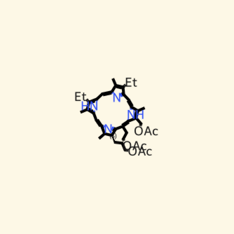 CCC1=C(C)c2cc3[nH]c(cc4nc(c(CCOC(C)=O)c5[nH]c(cc1n2)c(C)c5COC(C)=O)[C@@H](CCCOC(C)=O)C4C)c(C)c3CC